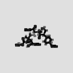 COC(=O)C[C@](C)(NC(=O)OC(C)(C)C)SC[C@@H](NC(=O)[C@@H](CC(C)C)c1ccc(OC)cc1)C(=O)OC